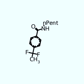 CCCCCNC(=O)c1ccc(C(C)(F)F)cc1